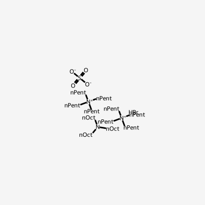 Br.CCCCCCCCN(CCCCCCCC)CCCCCCCC.CCCCC[N+](CCCCC)(CCCCC)CCCCC.CCCCC[N+](CCCCC)(CCCCC)CCCCC.O=S(=O)([O-])[O-]